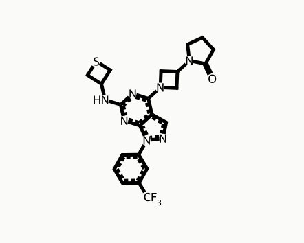 O=C1CCCN1C1CN(c2nc(NC3CSC3)nc3c2cnn3-c2cccc(C(F)(F)F)c2)C1